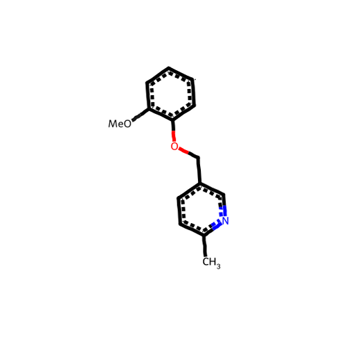 COc1cc[c]cc1OCc1ccc(C)nc1